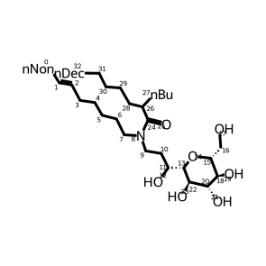 CCCCCCCCCC=CCCCCCN(CCC(O)[C@@H]1O[C@H](CO)[C@@H](O)[C@H](O)[C@H]1O)C(=O)C(CCCC)CCCCCCCCCCCCCC